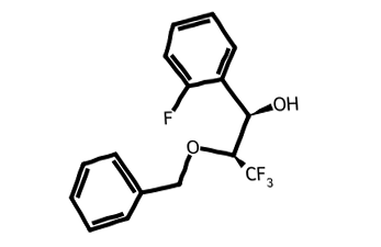 O[C@H](c1ccccc1F)[C@H](OCc1ccccc1)C(F)(F)F